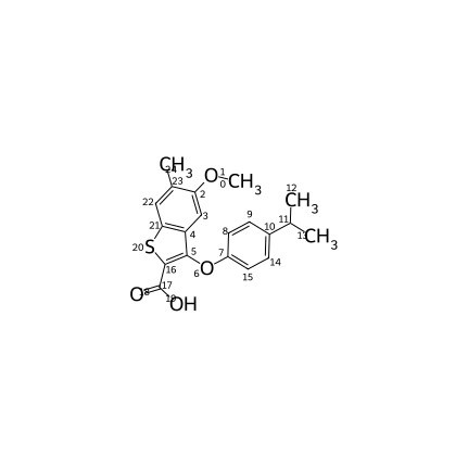 COc1cc2c(Oc3ccc(C(C)C)cc3)c(C(=O)O)sc2cc1C